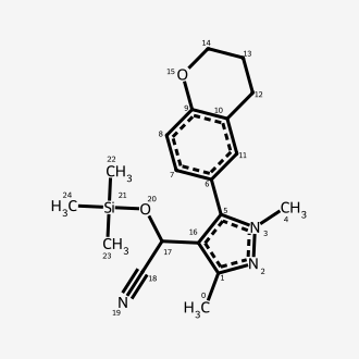 Cc1nn(C)c(-c2ccc3c(c2)CCCO3)c1C(C#N)O[Si](C)(C)C